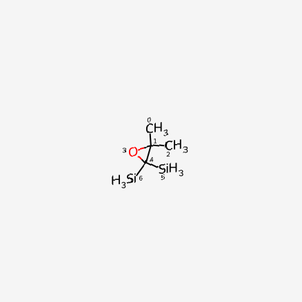 CC1(C)OC1([SiH3])[SiH3]